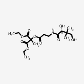 CCOC(=O)C(C)(OC(=O)CCNC(=O)[C@H](O)C(C)(C)CO)C(=O)OCC